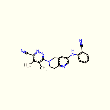 Cc1c(C#N)nnc(N2CCc3ncc(Nc4ccccc4C#N)cc3C2)c1C